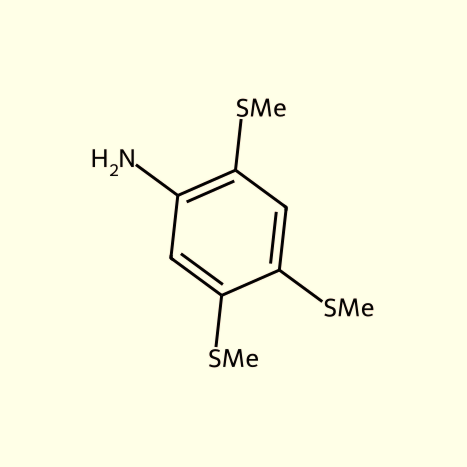 CSc1cc(SC)c(SC)cc1N